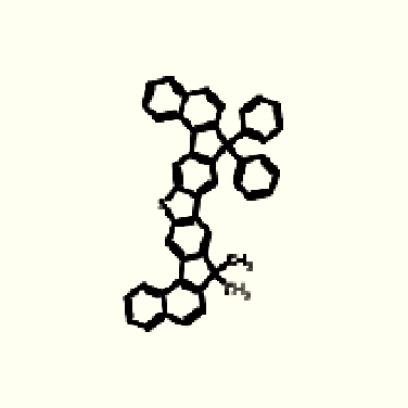 CC1(C)c2cc3c(cc2-c2c1ccc1ccccc21)sc1cc2c(cc13)C(c1ccccc1)(c1ccccc1)c1ccc3ccccc3c1-2